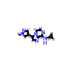 Cn1cc(-c2cnc3c(NC4CC4)nccn23)cn1